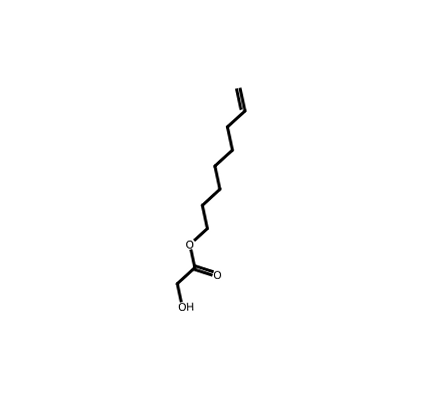 C=CCCCCCCOC(=O)CO